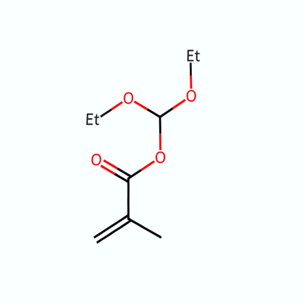 C=C(C)C(=O)OC(OCC)OCC